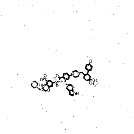 CC1(C)CCC(CN2CCN(c3ccc(C(=O)NS(=O)(=O)c4cc5c(c([N+](=O)[O-])c4)N[C@H](CN4CCOCC4)CO5)c(Oc4cnc5[nH]ccc5c4)c3)CC2)=C(c2ccc(Cl)cc2)C1